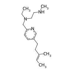 C/C=C(\C)CCc1ccc(CN(CC)CCNC)nc1